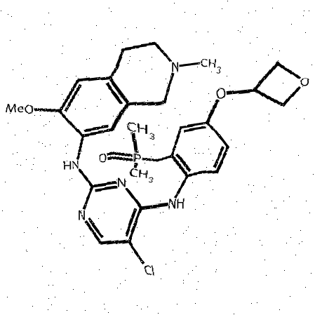 COc1cc2c(cc1Nc1ncc(Cl)c(Nc3ccc(OC4COC4)cc3P(C)(C)=O)n1)CN(C)CC2